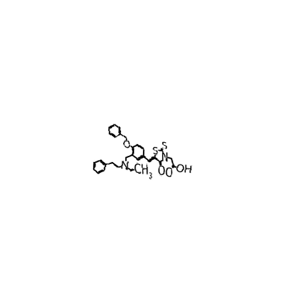 CCN(CCc1ccccc1)Cc1cc(C=C2SC(=S)N(CC(=O)O)C2=O)ccc1OCc1ccccc1